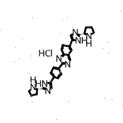 Cl.c1cc(-c2cnc([C@@H]3CCCN3)[nH]2)ccc1-c1ncc2cc(-c3cnc([C@@H]4CCCN4)[nH]3)ccc2n1